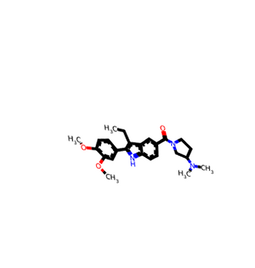 CCc1c(-c2ccc(OC)c(OC)c2)[nH]c2ccc(C(=O)N3CCC(N(C)C)C3)cc12